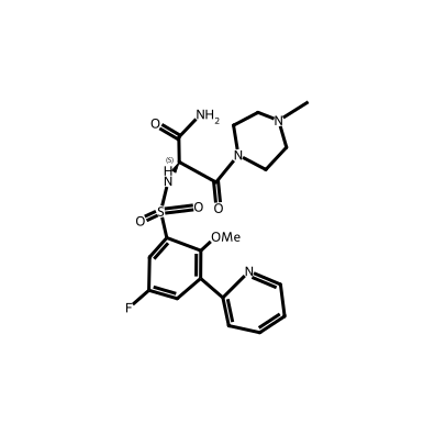 COc1c(-c2ccccn2)cc(F)cc1S(=O)(=O)N[C@@H](C(N)=O)C(=O)N1CCN(C)CC1